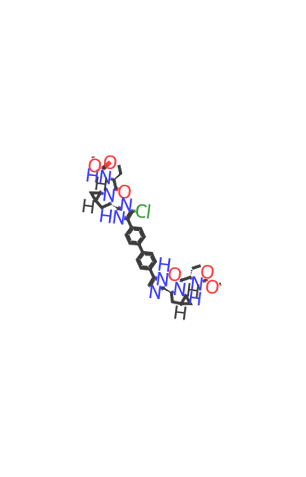 CC[C@H](NC(=O)OC)C(=O)N1[C@@H]2C[C@@H]2C[C@H]1c1ncc(-c2ccc(-c3ccc(-c4[nH]c([C@@H]5C[C@H]6C[C@H]6N5C(=O)[C@H](CC)NC(=O)OC)nc4Cl)cc3)cc2)[nH]1